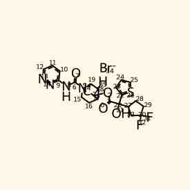 O=C(O[C@H]1C[N+]2(C(=O)Nc3cccnn3)CCC1CC2)C(O)(c1cccs1)C1CCC(F)(F)C1.[Br-]